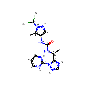 Cc1c(NC(=O)N[C@@H](C)c2ncnn2-c2ncccn2)cnn1C(F)F